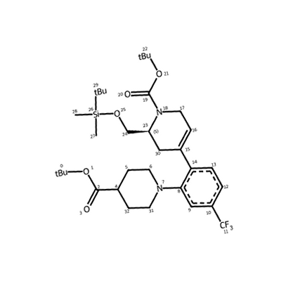 CC(C)(C)OC(=O)C1CCN(c2cc(C(F)(F)F)ccc2C2=CCN(C(=O)OC(C)(C)C)[C@H](CO[Si](C)(C)C(C)(C)C)C2)CC1